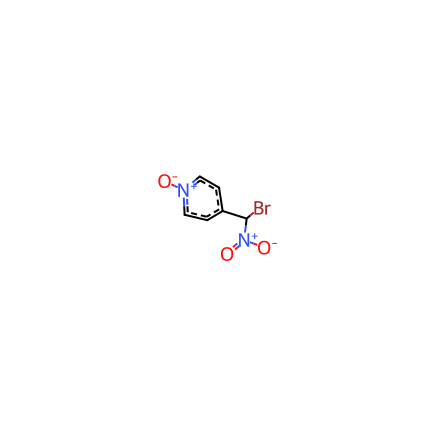 O=[N+]([O-])C(Br)c1cc[n+]([O-])cc1